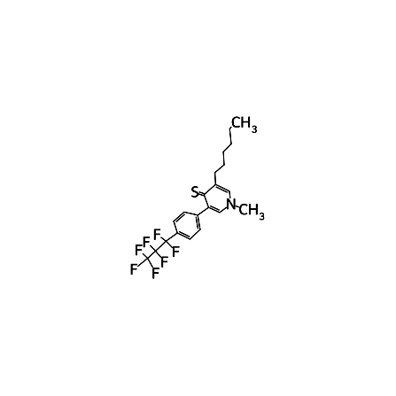 CCCCCCc1cn(C)cc(-c2ccc(C(F)(F)C(F)(F)C(F)(F)F)cc2)c1=S